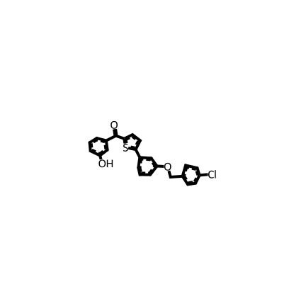 O=C(c1cccc(O)c1)c1ccc(-c2cccc(OCc3ccc(Cl)cc3)c2)s1